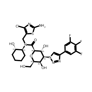 Nc1nc(Cl)c(CN(C(=O)[C@@H]2O[C@H](CO)[C@H](O)[C@H](n3cc(-c4cc(F)c(F)c(F)c4)nn3)[C@H]2O)[C@H]2CCCC[C@@H]2O)s1